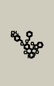 COc1ccc(COc2ccc(C(c3nccnc3Cl)N3C(=O)c4ccccc4C3=O)cc2OCc2ccccc2)cc1